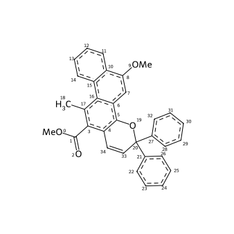 COC(=O)c1c2c(c3cc(OC)c4ccccc4c3c1C)OC(c1ccccc1)(c1ccccc1)C=C2